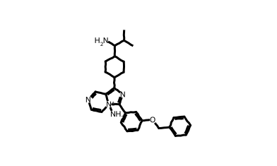 CC(C)C(N)C1CCC(C2=C3C=NC=C[N+]3(N)C(c3cccc(OCc4ccccc4)c3)=N2)CC1